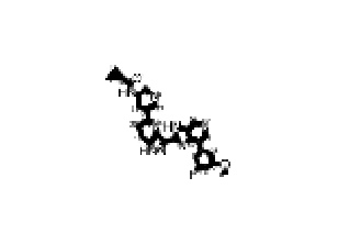 COc1cc(F)cc(-c2cncc3[nH]c(-c4n[nH]c5ccc(-c6cncc(NC(=O)C7CC7)c6)nc45)nc23)c1